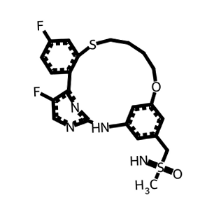 CS(=N)(=O)Cc1cc2cc(c1)OCCCCSc1cc(F)ccc1-c1nc(ncc1F)N2